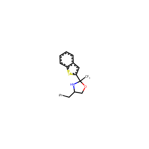 CC(C)CC1COC(c2cc3ccccc3s2)(C(F)(F)F)N1